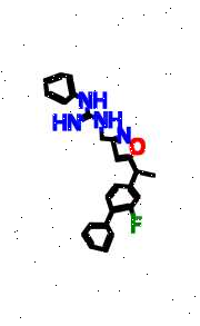 CC(c1ccc(-c2ccccc2)c(F)c1)c1cc(CNC(=N)Nc2ccccc2)no1